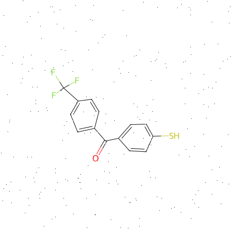 O=C(c1ccc(S)cc1)c1ccc(C(F)(F)F)cc1